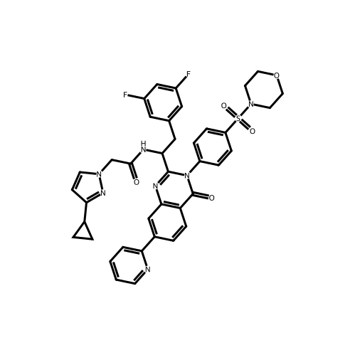 O=C(Cn1ccc(C2CC2)n1)NC(Cc1cc(F)cc(F)c1)c1nc2cc(-c3ccccn3)ccc2c(=O)n1-c1ccc(S(=O)(=O)N2CCOCC2)cc1